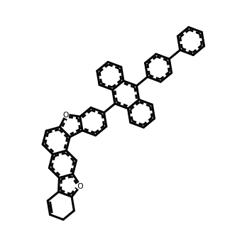 C1=Cc2c(oc3cc4c(ccc5oc6cc(-c7c8ccccc8c(-c8ccc(-c9ccccc9)cc8)c8ccccc78)ccc6c54)cc23)CC1